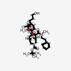 CN(CCc1ccccc1)C(=O)C1=C(c2ccc(CCCO)cc2)C[C@@H]2CN(C(=O)OC(C)(C)C)C[C@H]1N2C(=O)OC(C)(C)C(Cl)(Cl)Cl